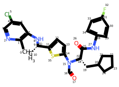 Cc1ncc(Cl)cc1N[C@@H](C)c1ccc(N(C=O)[C@@H](CC2CCCC2)C(=O)Nc2ccc(F)cc2)s1